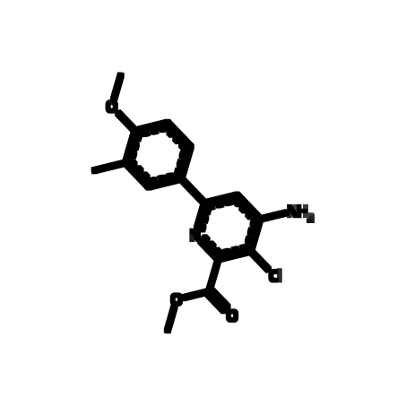 COC(=O)c1nc(-c2ccc(OC)c(C)c2)cc(N)c1Cl